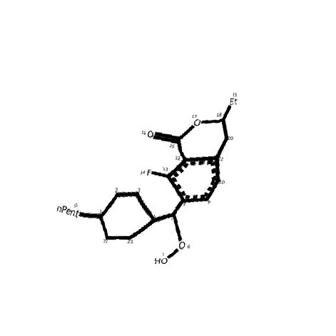 CCCCCC1CCC(C(OO)c2ccc3c(c2F)C(=O)OC(CC)C3)CC1